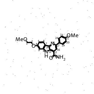 COCCOc1ccc2c(c1)[nH]c1c(C(N)=O)cc(-c3ccc(OC)cc3)nc12